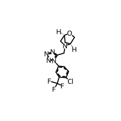 FC(F)(F)c1cc(-n2nnnc2CN2C[C@@H]3C[C@H]2CO3)ccc1Cl